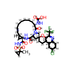 CC1(S(=O)(=O)NC(=O)[C@@]23C[C@H]2/C=C\CCCCC[C@H](NC(=O)O)C(=O)N2C[C@@]4(CCc5c(c(C(F)(F)F)nc6ccc(Cl)cc56)O4)C[C@H]2C(=O)N3)CC1